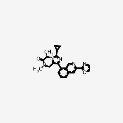 C[C@@H]1C(=O)N(C)Cc2c(-c3cccc4cc(-c5ncco5)ncc34)nc(C3CC3)n21